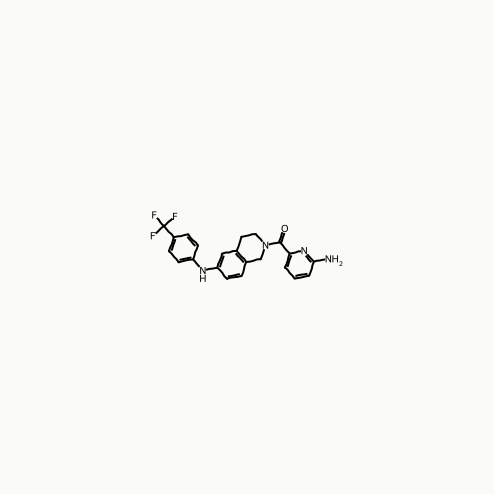 Nc1cccc(C(=O)N2CCc3cc(Nc4ccc(C(F)(F)F)cc4)ccc3C2)n1